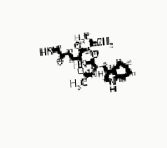 CC(=O)N[C@@H](Cc1c[nH]c2ccccc12)C(=O)NC(CCC(=O)C=N)C(=O)SC(C)C